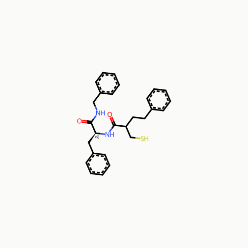 O=C(N[C@@H](Cc1ccccc1)C(=O)NCc1ccccc1)C(CS)CCc1ccccc1